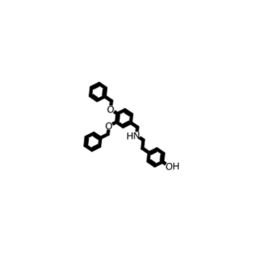 Oc1ccc(CCNCc2ccc(OCc3ccccc3)c(OCc3ccccc3)c2)cc1